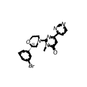 Cn1c(N2CCO[C@@H](c3cccc(Br)c3)C2)nc(-c2ccncn2)cc1=O